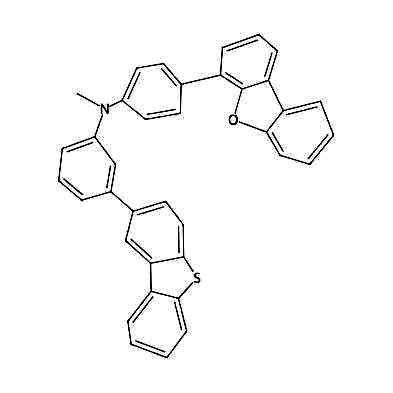 CN(c1ccc(-c2cccc3c2oc2ccccc23)cc1)c1cccc(-c2ccc3sc4ccccc4c3c2)c1